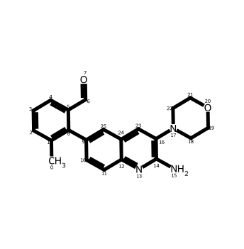 Cc1cccc(C=O)c1-c1ccc2nc(N)c(N3CCOCC3)cc2c1